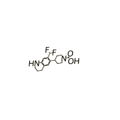 O=C(O)N1CCC(c2cc3c(cc2C(F)F)NCCC3)CC1